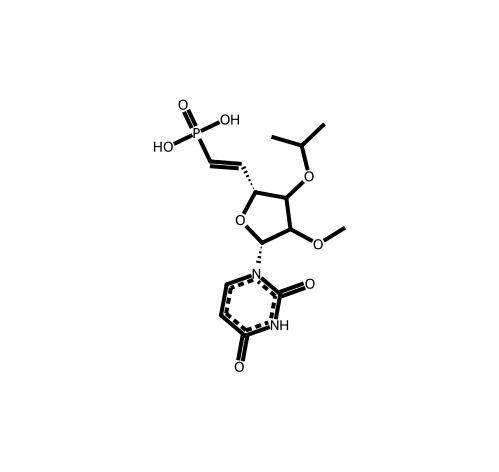 COC1C(OC(C)C)[C@@H](/C=C/P(=O)(O)O)O[C@H]1n1ccc(=O)[nH]c1=O